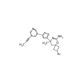 CC#Cc1cncc(-c2csc(C3(C)CC4(CC(C(C)=O)C4)OC(N)=N3)c2)c1